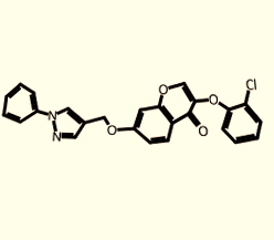 O=c1c(Oc2ccccc2Cl)coc2cc(OCc3cnn(-c4ccccc4)c3)ccc12